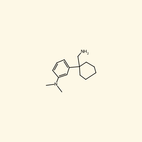 CN(C)c1cccc(C2(CN)CCCCC2)c1